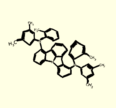 Cc1cc(C)cc(N(c2ccccc2C)c2cccc3c2c2cccc4c5c(N(c6cc(C)cc(C)c6)c6ccccc6C)cccc5n3c24)c1